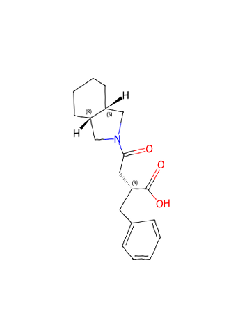 O=C(O)[C@@H](CC(=O)N1C[C@H]2CCCC[C@H]2C1)Cc1ccccc1